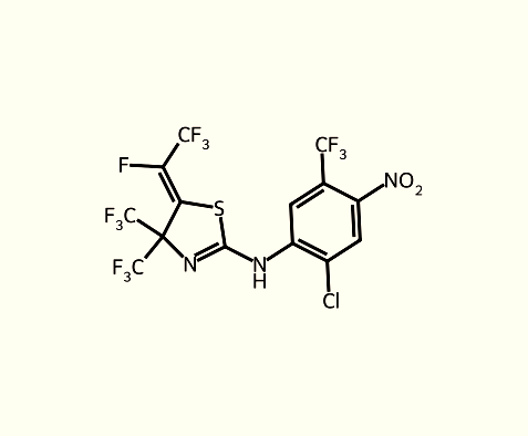 O=[N+]([O-])c1cc(Cl)c(NC2=NC(C(F)(F)F)(C(F)(F)F)/C(=C(\F)C(F)(F)F)S2)cc1C(F)(F)F